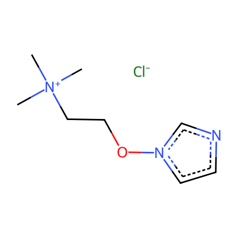 C[N+](C)(C)CCOn1ccnc1.[Cl-]